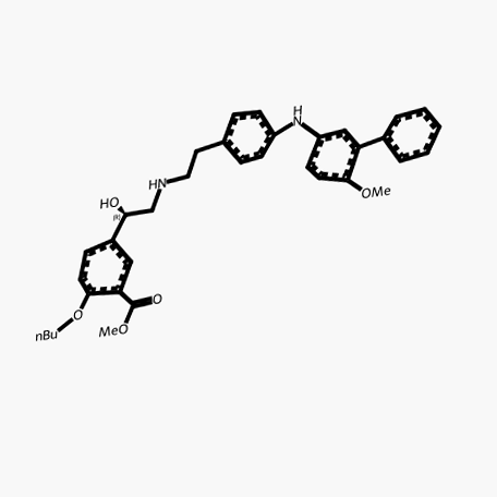 CCCCOc1ccc([C@@H](O)CNCCc2ccc(Nc3ccc(OC)c(-c4ccccc4)c3)cc2)cc1C(=O)OC